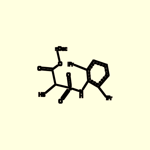 CCCCCCCCCCOC(=O)C(S)S(=O)(=O)Nc1c(C(C)C)cccc1C(C)C